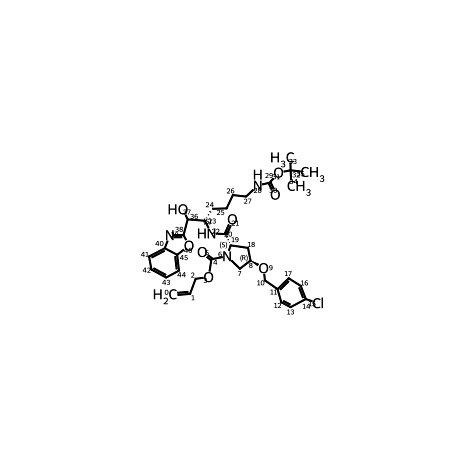 C=CCOC(=O)N1C[C@H](OCc2ccc(Cl)cc2)C[C@H]1C(=O)N[C@@H](CCCCNC(=O)OC(C)(C)C)C(O)c1nc2ccccc2o1